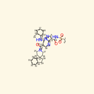 CCS(=O)(=O)NC(=O)c1cnn2c(Nc3ccccc3C)c(C(=O)N3CCC4(CCc5ccccc54)CC3)cnc12